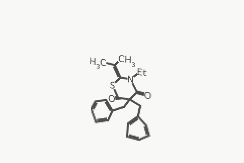 CCN1C(=O)C(Cc2ccccc2)(Cc2ccccc2)C(=O)SC1=C(C)C